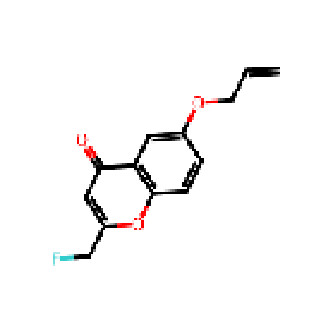 C=CCOc1ccc2oc(CF)cc(=O)c2c1